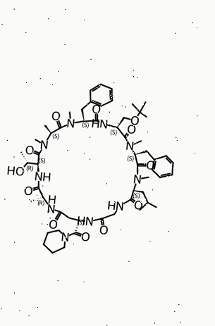 CC(C)C[C@H]1C(=O)NCC(=O)N[C@H](C(=O)N2CCCCC2)CC(=O)N[C@H](C)C(=O)N[C@@H]([C@@H](C)O)C(=O)N(C)[C@@H](C)C(=O)N(C)[C@@H](Cc2ccccc2)C(=O)N[C@@H](COC(C)(C)C)C(=O)N(C)[C@@H](Cc2ccccc2)C(=O)N1C